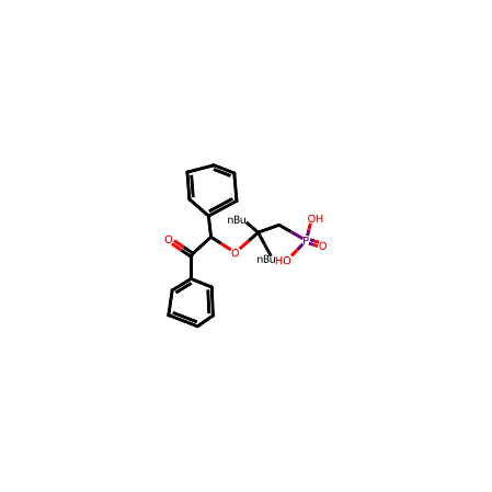 CCCCC(CCCC)(CP(=O)(O)O)OC(C(=O)c1ccccc1)c1ccccc1